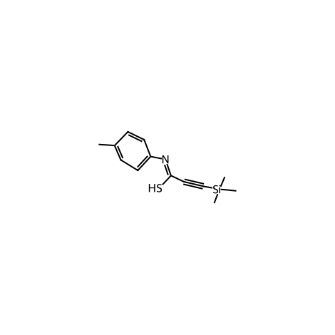 Cc1ccc(N=C(S)C#C[Si](C)(C)C)cc1